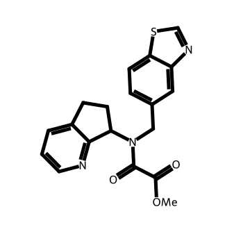 COC(=O)C(=O)N(Cc1ccc2scnc2c1)C1CCc2cccnc21